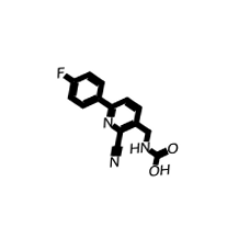 N#Cc1nc(-c2ccc(F)cc2)ccc1CNC(=O)O